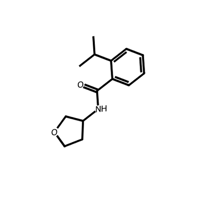 CC(C)c1ccccc1C(=O)NC1CCOC1